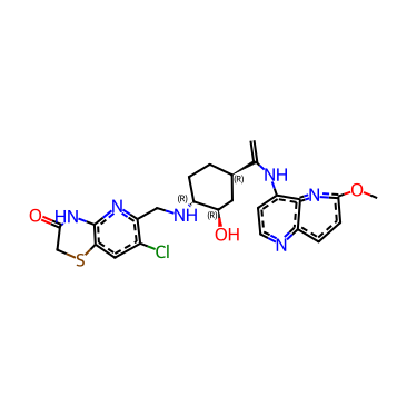 C=C(Nc1ccnc2ccc(OC)nc12)[C@@H]1CC[C@@H](NCc2nc3c(cc2Cl)SCC(=O)N3)[C@H](O)C1